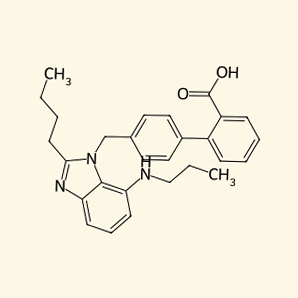 CCCCc1nc2cccc(NCCC)c2n1Cc1ccc(-c2ccccc2C(=O)O)cc1